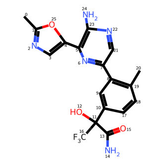 Cc1ncc(-c2nc(-c3cc(C(O)(C(N)=O)C(F)(F)F)ccc3C)cnc2N)o1